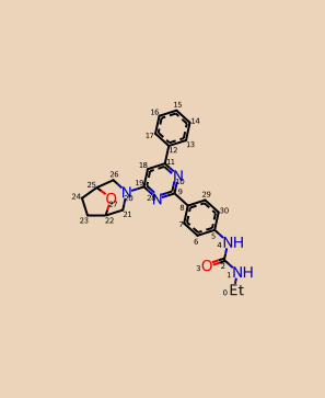 CCNC(=O)Nc1ccc(-c2nc(-c3ccccc3)cc(N3CC4CCC(C3)O4)n2)cc1